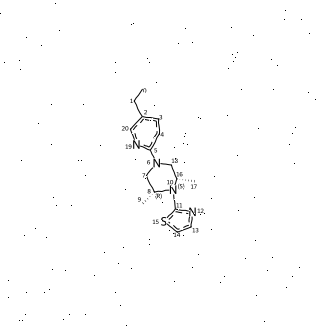 CCc1ccc(N2C[C@@H](C)N(c3nccs3)[C@@H](C)C2)nc1